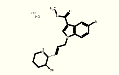 COC(=O)c1cn(C/C=C/[C@H]2NCCC[C@@H]2O)c2ccc(Br)cc12.Cl.Cl